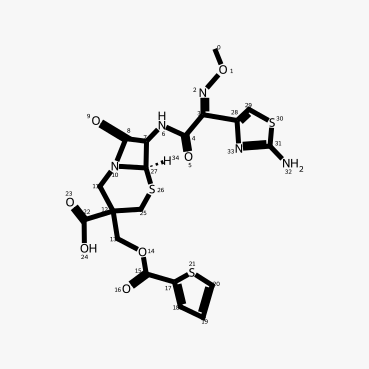 CON=C(C(=O)NC1C(=O)N2CC(COC(=O)c3cccs3)(C(=O)O)CS[C@H]12)c1csc(N)n1